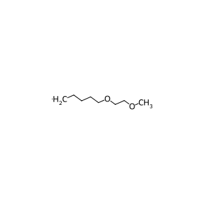 [CH2]CCCCOCCOC